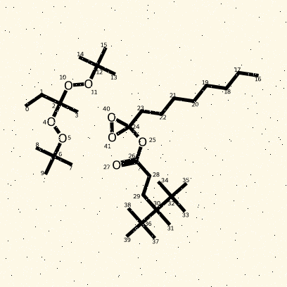 CCC(C)(OOC(C)(C)C)OOC(C)(C)C.CCCCCCCCC1(OC(=O)CCC(C)(C(C)(C)C)C(C)(C)C)OO1